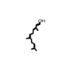 CC(C)=CCC/C(C)=C\C/C=C(C)/C=C/O